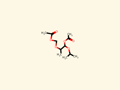 CC(=O)OCOC(C)C(OC(C)=O)OC(C)C